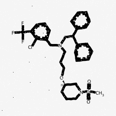 CS(=O)(=O)N1CCC[C@H](OCCCN(Cc2cccc(C(F)(F)F)c2Cl)CC(c2ccccc2)c2ccccc2)C1